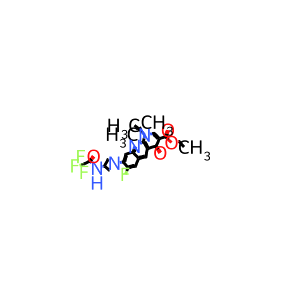 CCOC(=O)c1cn(C(C)(C)C)c2nc3cc(N4CC(NC(=O)C(F)(F)F)C4)c(F)cc3cc2c1=O